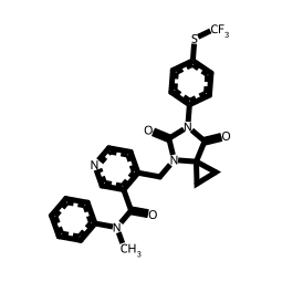 CN(C(=O)c1cnccc1CN1C(=O)N(c2ccc(SC(F)(F)F)cc2)C(=O)C12CC2)c1ccccc1